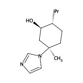 CC(C)[C@@H]1CC[C@@](C)(n2ccnc2)C[C@H]1O